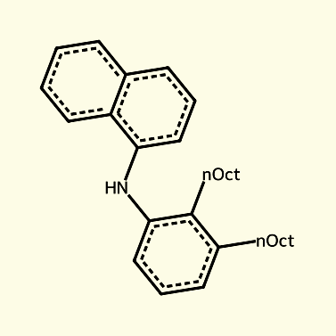 CCCCCCCCc1cccc(Nc2cccc3ccccc23)c1CCCCCCCC